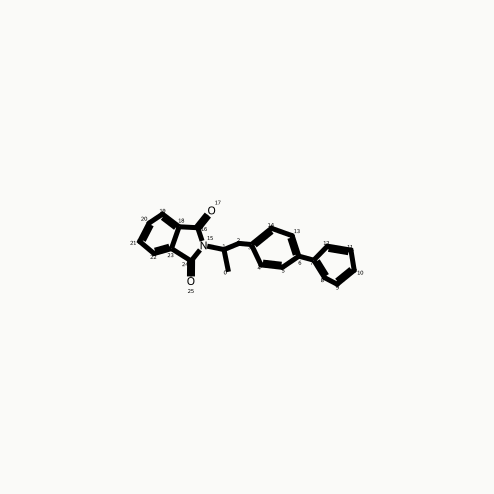 CC(Cc1ccc(-c2ccccc2)cc1)N1C(=O)c2ccccc2C1=O